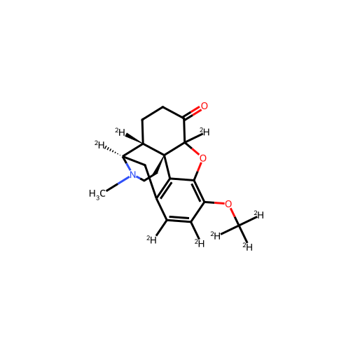 [2H]c1c([2H])c(OC([2H])([2H])[2H])c2c3c1C[C@@]1([2H])N(C)CC[C@@]34C([2H])(O2)C(=O)CC[C@@]14[2H]